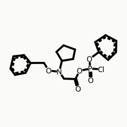 O=C(CN(OCc1ccccc1)C1CCCC1)OP(=O)(Cl)Oc1ccccc1